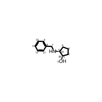 O[C@@H]1CCC[C@@H]1NCc1ccccc1